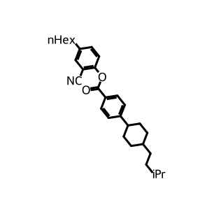 CCCCCCc1ccc(OC(=O)c2ccc(C3CCC(CCC(C)C)CC3)cc2)c(C#N)c1